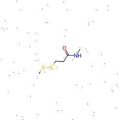 CNC(=O)CCSSC